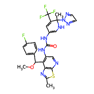 COC(c1ccc(F)cc1)c1c(NC(=O)NC2=CNC(C)(n3nccn3)C(C(F)(F)F)=C2)cnc2sc(C)nc12